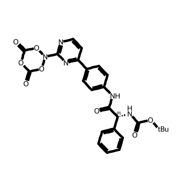 CC(C)(C)OC(=O)N[C@@H](C(=O)Nc1ccc(-c2ccnc(N3OC(=O)OC(=O)O3)n2)cc1)c1ccccc1